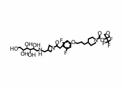 O=C(Cc1c(F)cc(OCCCC2CCN(C(=O)OC3(C(F)(F)F)COC3)CC2)cc1F)N1CC(CNC[C@H](O)[C@@H](O)[C@H](O)[C@H](O)CO)C1